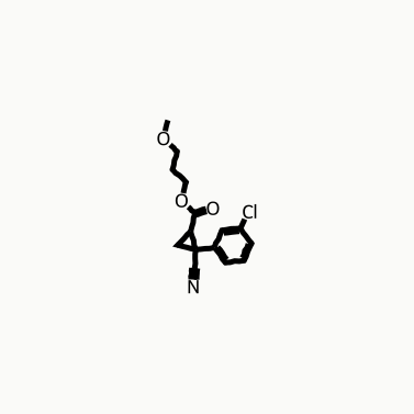 COCCCOC(=O)C1CC1(C#N)c1cccc(Cl)c1